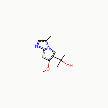 COc1cc2ncc(C)n2cc1C(C)(C)O